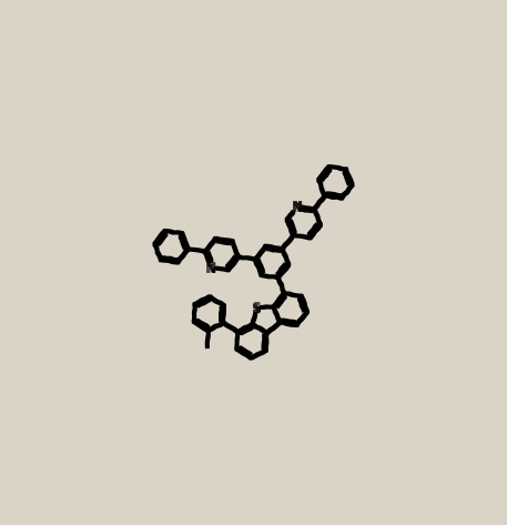 Cc1ccccc1-c1cccc2c1sc1c(-c3cc(-c4ccc(-c5ccccc5)nc4)cc(-c4ccc(-c5ccccc5)nc4)c3)cccc12